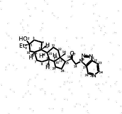 CC[C@@]1(O)CC[C@H]2[C@H](CC[C@@H]3[C@@H]2CC[C@]2(C)[C@@H](C(=O)Cn4nnc5ccncc54)CC[C@@H]32)C1